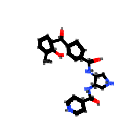 COc1cccc(C(=O)c2ccc(C(=O)N[C@@H]3CNC[C@H]3NC(=O)c3ccncc3)cc2)c1O